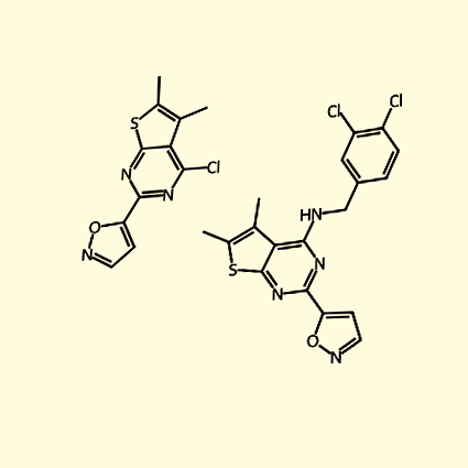 Cc1sc2nc(-c3ccno3)nc(Cl)c2c1C.Cc1sc2nc(-c3ccno3)nc(NCc3ccc(Cl)c(Cl)c3)c2c1C